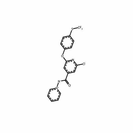 O=C([N-][n+]1ccccc1)c1cc(Cl)nc(Oc2ccc(SC(F)(F)F)cc2)c1